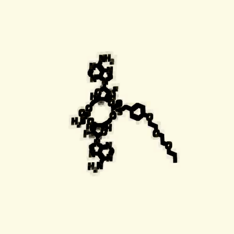 B[P@]1(=O)OC[C@H]2O[C@@H](n3cnc4c(N)ncnc43)[C@H](F)[C@@H]2O[P@@](=O)(SCc2ccc(OCCOCCOCCC)cc2)OC[C@H]2O[C@@H](n3cnc4c(N)ncnc43)[C@H](F)[C@@H]2O1